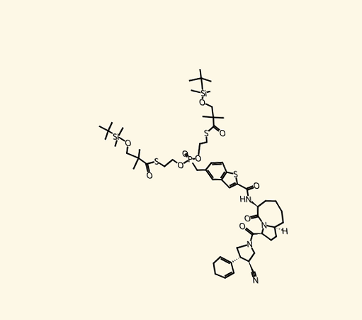 CC(C)(CO[Si](C)(C)C(C)(C)C)C(=O)SCCOP(=O)(Cc1ccc2sc(C(=O)N[C@H]3CCCC[C@H]4CC[C@@H](C(=O)N5C[C@@H](C#N)[C@H](C6=CCCC=C6)C5)N4C3=O)cc2c1)OCCSC(=O)C(C)(C)CO[Si](C)(C)C(C)(C)C